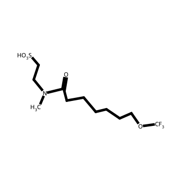 CN(CCS(=O)(=O)O)C(=O)CCCCCCOC(F)(F)F